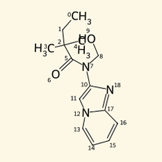 CCC(C)(C)C(=O)N(CO)c1cn2ccccc2n1